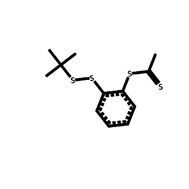 CC(=S)Sc1ccccc1SSC(C)(C)C